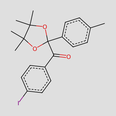 Cc1ccc(C2(C(=O)c3ccc(I)cc3)OC(C)(C)C(C)(C)O2)cc1